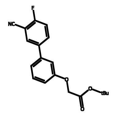 CC(C)(C)OC(=O)COc1cccc(-c2ccc(F)c(C#N)c2)c1